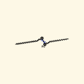 CCCCCCCCCCCCCCCCCCCCC#CCCc1ccccc1N=CC=Nc1ccccc1CCC#CCCCCCCCCCCCCCCCCCCCCCCC.[Pd]